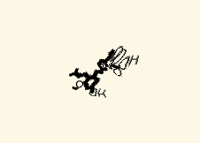 C=C(/C=C\C(NC(=O)C(=O)O)=C(/C)OC)/C=C/c1cc(O)cc(OCC)c1CC=C(C)C